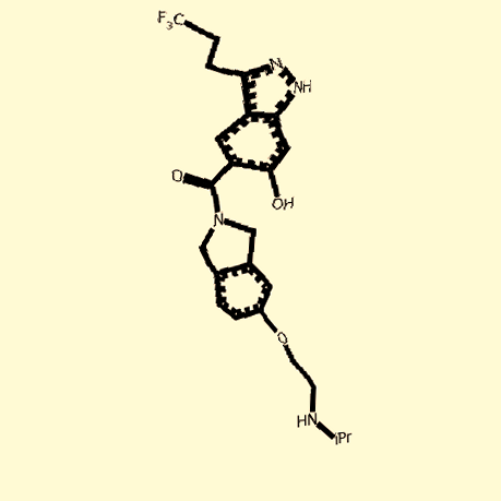 CC(C)NCCOc1ccc2c(c1)CN(C(=O)c1cc3c(CCC(F)(F)F)n[nH]c3cc1O)C2